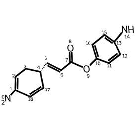 NC1=CC[C@H](/C=C/C(=O)Oc2ccc(N)cc2)C=C1